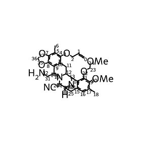 C=CCOc1c(C)c2c(c3c1CC1C4c5c(cc(C)c(OC)c5OCOC)C[C@H]([C@H](C#N)N1[C@H]3CN)N4C)OCO2